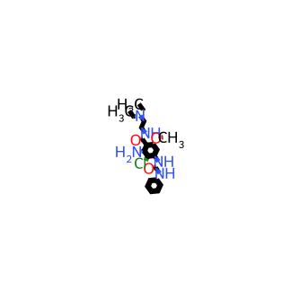 CCN(CC)CCNC(=O)c1c(OC)cc(NC(=O)Nc2ccccc2)c(Cl)c1N